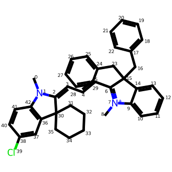 CN1/C(=C/C=C/C2=[N+](C)c3ccccc3C2(Cc2ccccc2)Cc2ccccc2)C2(CCCCC2)c2cc(Cl)ccc21